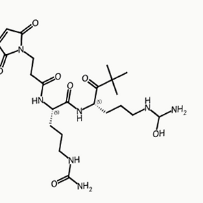 CC(C)(C)C(=O)[C@H](CCCNC(N)O)NC(=O)[C@H](CCCNC(N)=O)NC(=O)CCN1C(=O)C=CC1=O